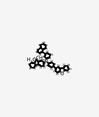 CC1(C)c2ccccc2-c2ccc(N(c3ccc(-c4ccc5oc6ccccc6c5c4)cc3)c3cccc(-c4cccc5ccccc45)c3)cc21